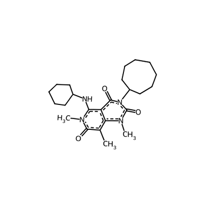 Cc1c(=O)n(C)c(NC2CCCCC2)c2c(=O)n(C3CCCCCCC3)c(=O)n(C)c12